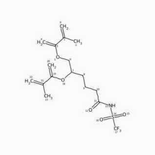 C=C(C)C(=C)OCC(CCCC(=O)NS(=O)(=O)C(F)(F)F)OC(=C)C(=C)C